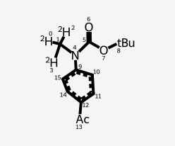 [2H]C([2H])([2H])N(C(=O)OC(C)(C)C)c1ccc(C(C)=O)cc1